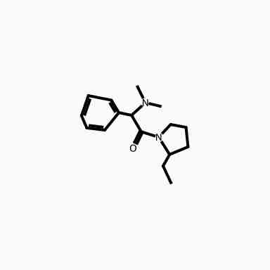 CCC1CCCN1C(=O)C(c1ccccc1)N(C)C